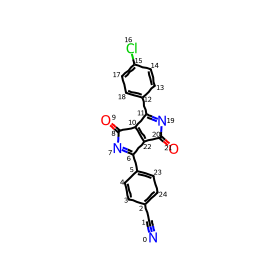 N#Cc1ccc(-c2nc(=O)c3c(-c4ccc(Cl)cc4)nc(=O)c2=3)cc1